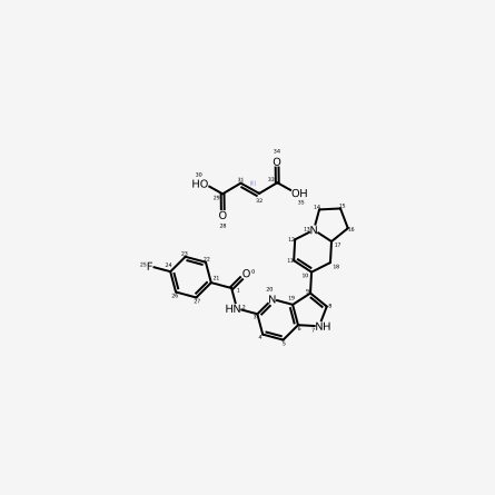 O=C(Nc1ccc2[nH]cc(C3=CCN4CCCC4C3)c2n1)c1ccc(F)cc1.O=C(O)/C=C/C(=O)O